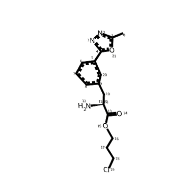 Cc1nnc(-c2cccc(C[C@H](N)C(=O)OCCCCl)c2)o1